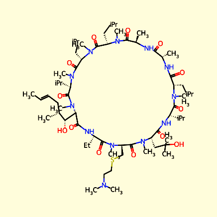 C/C=C/C[C@@H](C)[C@@H](O)[C@H]1C(=O)N[C@@H](CC)C(=O)N(C)[C@H](CSCCN(C)C)C(=O)N(C)[C@@H](CC(C)(C)O)C(=O)N[C@@H](C(C)C)C(=O)N(C)[C@@H](CC(C)C)C(=O)N[C@@H](C)C(=O)N[C@H](C)C(=O)N(C)[C@@H](CC(C)C)C(=O)N(C)[C@@H](CC(C)C)C(=O)N(C)[C@@H](C(C)C)C(=O)N1C